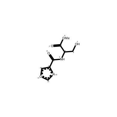 COC(=O)C(CO)NC(=O)c1cocn1